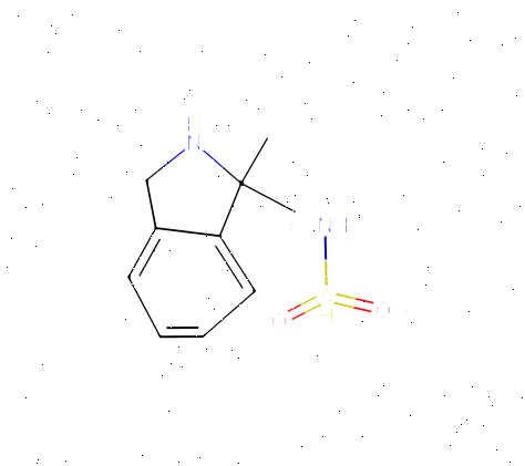 CC1(C)NCc2ccccc21.N[SH](=O)=O